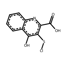 O=C(O)c1nc2ccccc2c(O)c1SCl